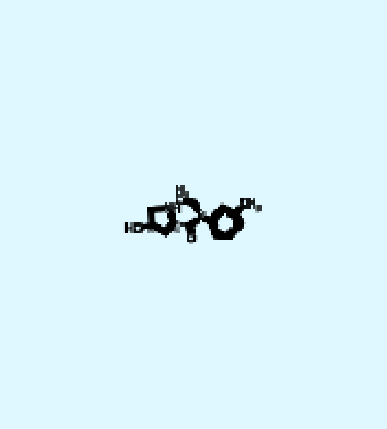 CCN(C(=O)[C@@H]1C[C@@H](O)CN1)c1cccc(C)c1